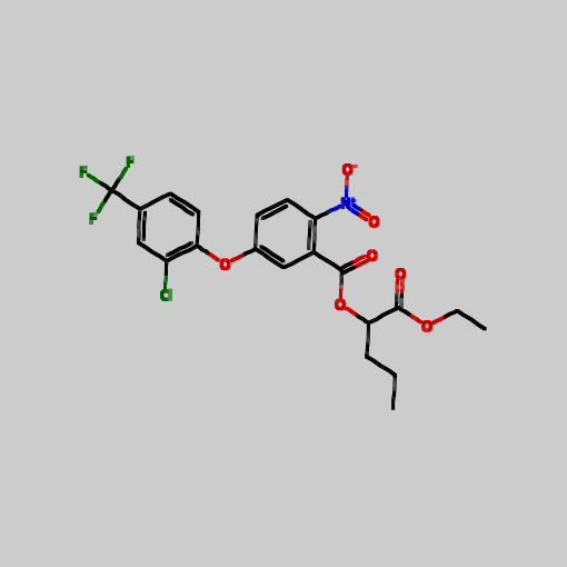 CCCC(OC(=O)c1cc(Oc2ccc(C(F)(F)F)cc2Cl)ccc1[N+](=O)[O-])C(=O)OCC